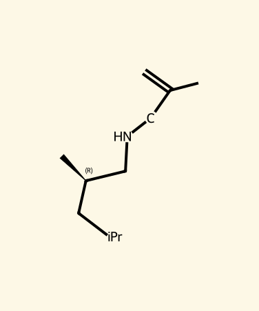 C=C(C)CNC[C@H](C)CC(C)C